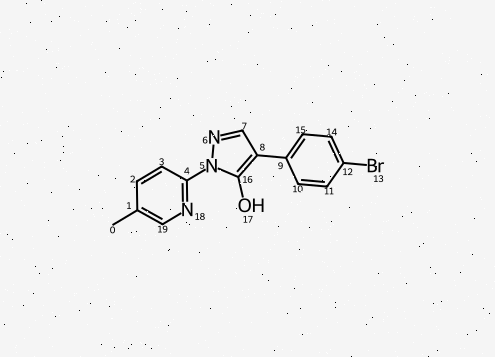 Cc1ccc(-n2ncc(-c3ccc(Br)cc3)c2O)nc1